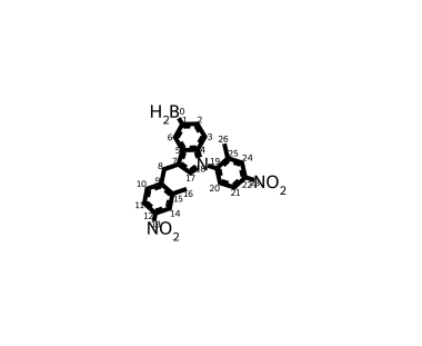 Bc1ccc2c(c1)c(Cc1ccc([N+](=O)[O-])cc1C)cn2-c1ccc([N+](=O)[O-])cc1C